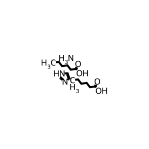 CCCCCC(=O)O.CCCCCC(=O)O.N.c1c[nH]cn1